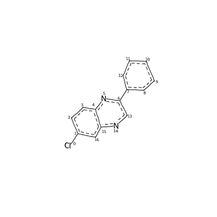 Clc1ccc2nc(-c3ccccc3)cnc2c1